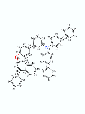 c1ccc(-c2ccc(N(c3ccc(-c4ccccc4)cc3)c3cccc(-c4ccc5oc6cc(-c7ccccc7)c7ccccc7c6c5c4)c3)cc2)cc1